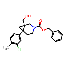 O=C(OCc1ccccc1)N1CC[C@]2(c3ccc(C(F)(F)F)c(Cl)c3)C[C@]2(CO)C1